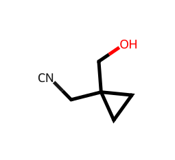 [C-]#[N+]CC1(CO)CC1